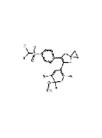 COC1(Br)CC(Br)=C(C2=C(c3ccc(S(=O)(=O)C(F)F)cc3)CC3(CC3)C2)C=C1Br